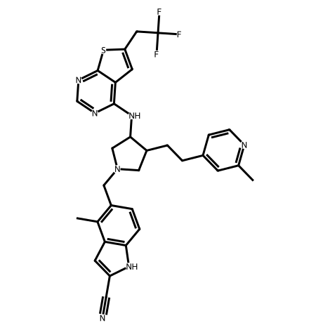 Cc1cc(CCC2CN(Cc3ccc4[nH]c(C#N)cc4c3C)CC2Nc2ncnc3sc(CC(F)(F)F)cc23)ccn1